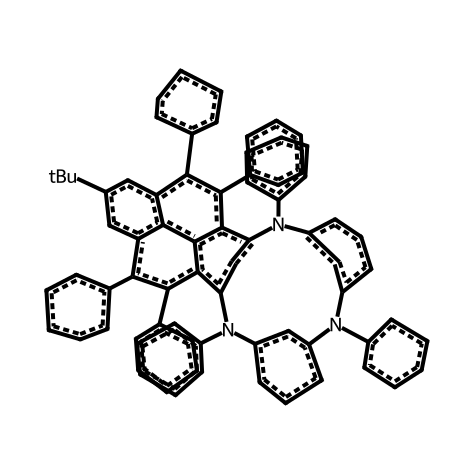 CC(C)(C)c1cc2c(-c3ccccc3)c(-c3ccccc3)c3c4cc(c5c(-c6ccccc6)c(-c6ccccc6)c(c1)c2c35)N(c1ccccc1)c1cccc(c1)N(c1ccccc1)c1cccc(c1)N4c1ccccc1